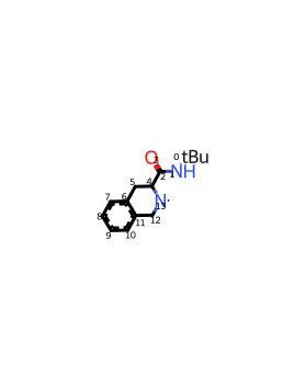 CC(C)(C)NC(=O)C1Cc2ccccc2C[N]1